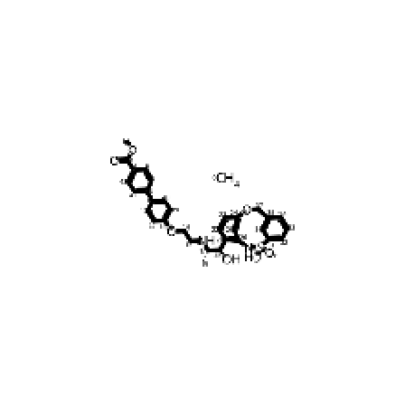 C.COC(=O)c1ccc(-c2ccc(OCCN[C@@H](C)[C@H](O)c3ccc4cc3NS(=O)(=O)c3cccc(c3)CO4)cc2)cc1